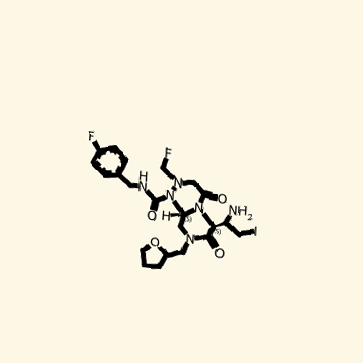 NC(CI)[C@H]1C(=O)N(CC2CCCO2)C[C@H]2N1C(=O)CN(CF)N2C(=O)NCc1ccc(F)cc1